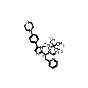 Cn1c(-c2ccc(N3CCOCC3)cc2)cnc1[C@H](Cc1ccccn1)N(C=O)OC(C)(C)C